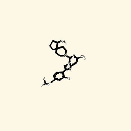 Cc1cc2nc(-c3ccc(OC(F)F)cc3Cl)cn2c(N2CCC3(CCCC3N)CC2)n1